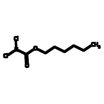 CCCCCCOC(=O)N(Cl)Cl